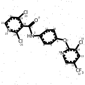 O=C(Nc1ccc(Oc2ncc(C(F)(F)F)cc2Cl)cc1)c1c(Cl)ccnc1Cl